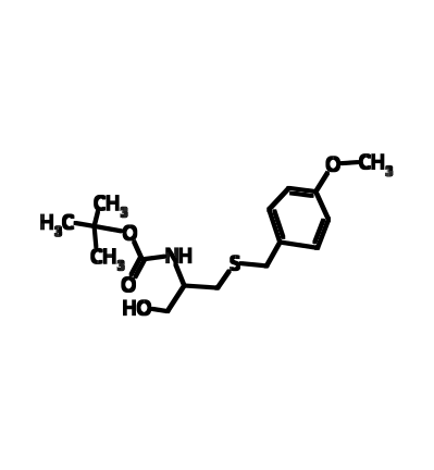 COc1ccc(CSCC(CO)NC(=O)OC(C)(C)C)cc1